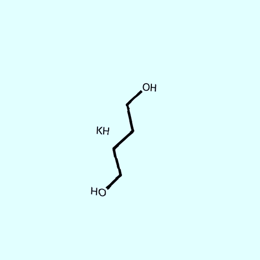 OCCCCO.[KH]